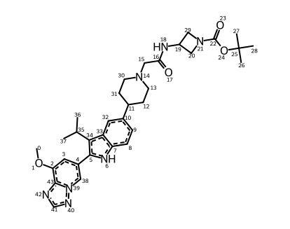 COc1cc(-c2[nH]c3ccc(C4CCN(CC(=O)NC5CN(C(=O)OC(C)(C)C)C5)CC4)cc3c2C(C)C)cn2ncnc12